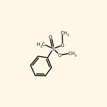 COS(C)(=O)(OC)c1ccccc1